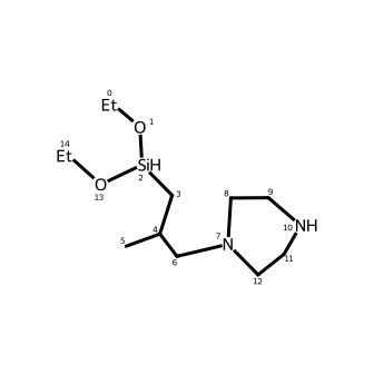 CCO[SiH](CC(C)CN1CCNCC1)OCC